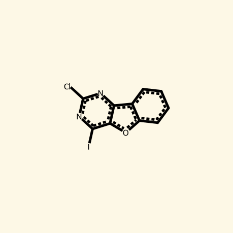 Clc1nc(I)c2oc3ccccc3c2n1